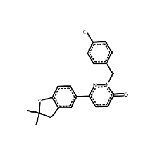 CC1(C)Cc2cc(-c3ccc(=O)n(Cc4ccc(Cl)cc4)n3)ccc2O1